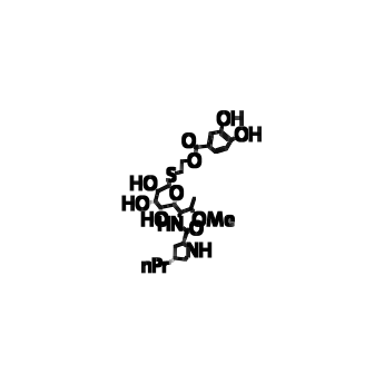 CCC[C@H]1CN[C@H](C(=O)N[C@@H]([C@H]2O[C@H](SCCOC(=O)c3ccc(O)c(O)c3)[C@H](O)[C@@H](O)[C@H]2O)[C@@H](C)OC)C1